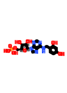 O=P(O)(O)OC[C@H]1O[C@@H](n2cnc3c(NCc4ccc(O)cc4O)ncnc32)[C@H](O)[C@@H]1O